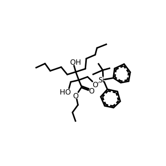 CCCCCC(O)(CCCCC)C(CO)(CO[Si](c1ccccc1)(c1ccccc1)C(C)(C)C)C(=O)OCCC